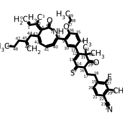 C=C/C(C)=C1C(=O)NC(c2cc(C3=CC(=S)C(CCc4ccc(C#N)c(C)c4F)C(=O)C3(C)C)ccc2OCC)=C=C\C=C/1CC(=C)CCC